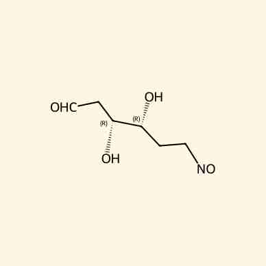 O=CC[C@@H](O)[C@H](O)CCN=O